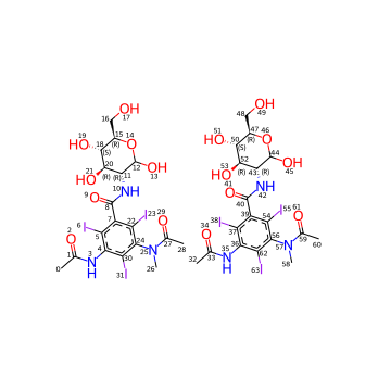 CC(=O)Nc1c(I)c(C(=O)N[C@H]2C(O)O[C@H](CO)[C@@H](O)[C@@H]2O)c(I)c(N(C)C(C)=O)c1I.CC(=O)Nc1c(I)c(C(=O)N[C@H]2C(O)O[C@H](CO)[C@@H](O)[C@@H]2O)c(I)c(N(C)C(C)=O)c1I